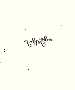 CC(C)(C)OC(=O)NC(Cc1ccccc1)c1nnc(CNC(=O)OCC2c3ccccc3-c3ccccc32)o1